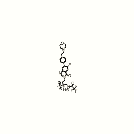 C[C@@](CCn1cnc2cc(-c3ccc(CCN4CCOCC4)cc3)c(F)cc2c1=O)(CN(O)C(=O)C(F)(F)F)S(C)(=O)=O